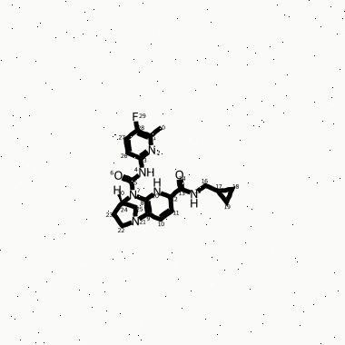 Cc1nc(NC(=O)N2C3=C(C=CC(C(=O)NCC4CC4)N3)N3CC[C@H]2C3)ccc1F